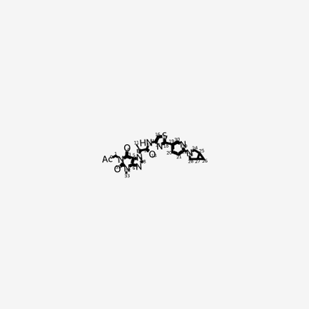 CC(=O)Cn1c(=O)c2c(ncn2[C@@H](C)C(=O)Nc2csc(-c3ccc(N4CC5CC5C4)nc3)n2)n(C)c1=O